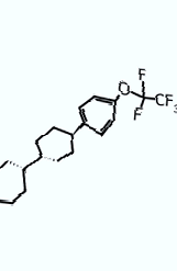 C[C@H]1CC[C@H]([C@H]2CC[C@H](c3ccc(OC(F)(F)C(F)(F)F)cc3)CC2)CC1